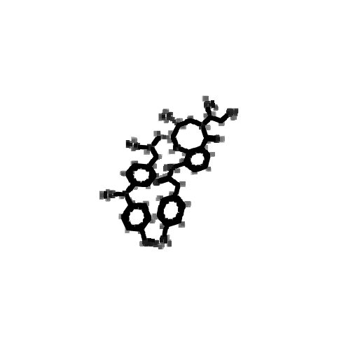 COc1ccc(N(C)c2ccc(CN(C)C[C@H]3Oc4c(NC(=O)Cc5ccc(C(F)(F)F)cc5)cccc4C(=O)N([C@@H](C)CO)C[C@H]3C)cc2)cc1